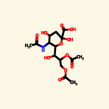 CC(=O)NC1C(O)CC(O)(C(=O)O)OC1C(O)C(COC(C)=O)OC(C)=O